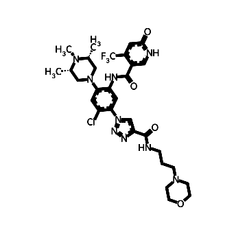 C[C@@H]1CN(c2cc(Cl)c(-n3cc(C(=O)NCCCN4CCOCC4)nn3)cc2NC(=O)c2c[nH]c(=O)cc2C(F)(F)F)C[C@H](C)N1C